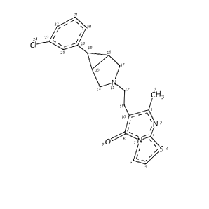 Cc1nc2sccn2c(=O)c1CCN1CC2C(C1)C2c1cccc(Cl)c1